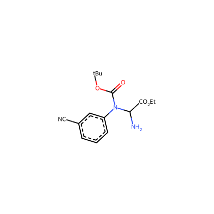 CCOC(=O)C(N)N(C(=O)OC(C)(C)C)c1cccc(C#N)c1